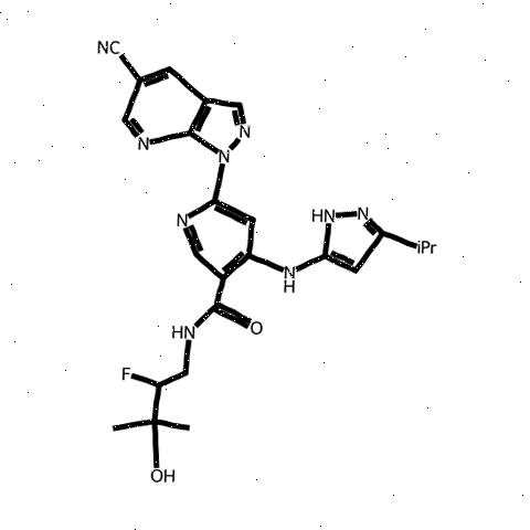 CC(C)c1cc(Nc2cc(-n3ncc4cc(C#N)cnc43)ncc2C(=O)NCC(F)C(C)(C)O)[nH]n1